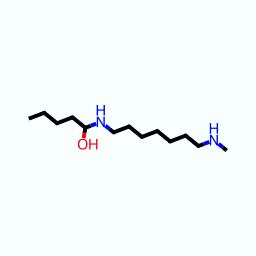 CCCCC(O)NCCCCCCCNC